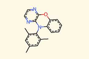 Cc1cc(C)c(N2c3ccccc3Oc3nccnc32)c(C)c1